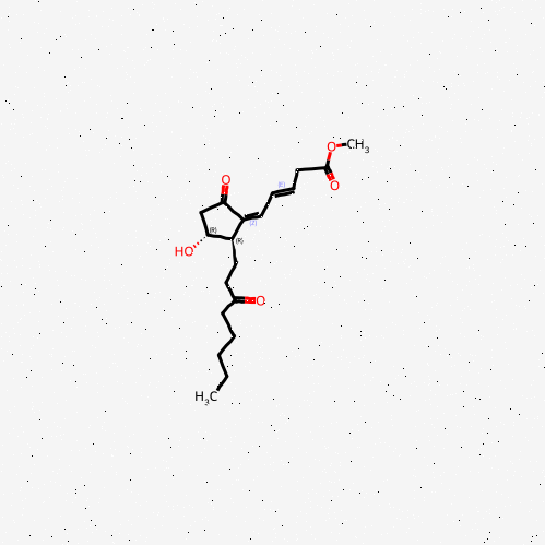 CCCCCC(=O)CC[C@@H]1/C(=C/C=C/CC(=O)OC)C(=O)C[C@H]1O